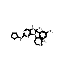 NC1(c2cc(C(F)(F)F)cc(C(F)(F)F)c2)Nc2cnc(NC3CCCC3)nc2N1C1CCNCC1